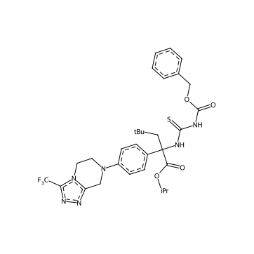 CC(C)OC(=O)C(CC(C)(C)C)(NC(=S)NC(=O)OCc1ccccc1)c1ccc(N2CCn3c(nnc3C(F)(F)F)C2)cc1